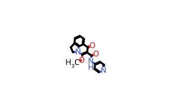 COc1c(C(=O)Nc2ccncc2)c(=O)c2cccc3c2n1CC3